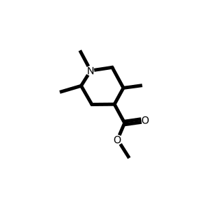 COC(=O)C1CC(C)N(C)CC1C